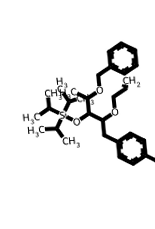 C=CCOC(Cc1ccc(F)cc1)C(O[Si](C(C)C)(C(C)C)C(C)C)C(C)OCc1ccccc1